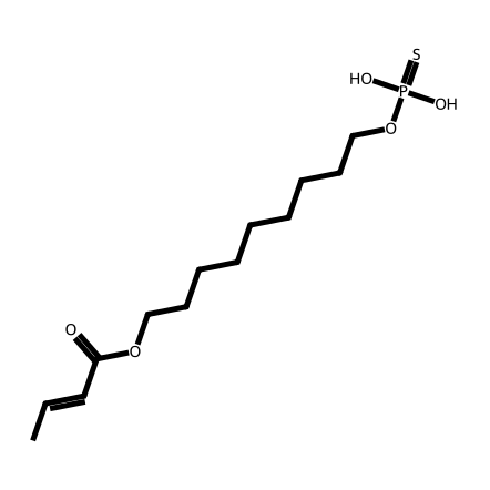 CC=CC(=O)OCCCCCCCCCOP(O)(O)=S